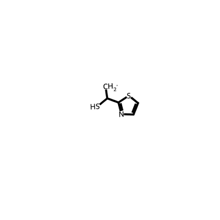 [CH2]C(S)c1nccs1